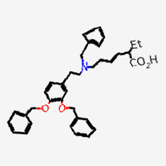 CCC(CCCCN(CCc1ccc(OCc2ccccc2)c(OCc2ccccc2)c1)Cc1ccccc1)C(=O)O